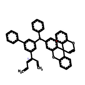 C=C/C=C(\C=C)c1cc(-c2ccccc2)cc(N(c2ccccc2)c2ccc3c(c2)Oc2ccccc2C32c3ccccc3Oc3ccccc32)c1